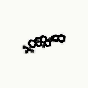 CC[N+]([O-])(C(C)C)[C@@H]1CCC2=CC3=CC[C@]4(C)[C@@H](c5ccc6ccccc6c5)CC[C@H]4[C@@]34CC[C@]2(C1)O4